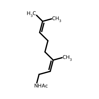 CC(=O)NCC=C(C)CCC=C(C)C